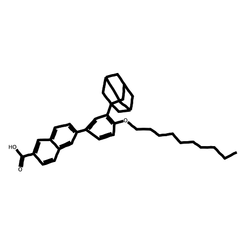 CCCCCCCCCCOc1ccc(-c2ccc3cc(C(=O)O)ccc3c2)cc1C12CC3CC(CC(C3)C1)C2